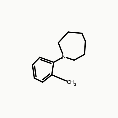 Cc1ccccc1N1CCCCCC1